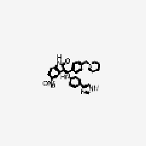 O=C1Nc2ccc([N+](=O)[O-])cc2C1=C(Nc1ccc(-c2c[nH]cn2)cc1)c1ccc(CN2CCCCC2)cc1